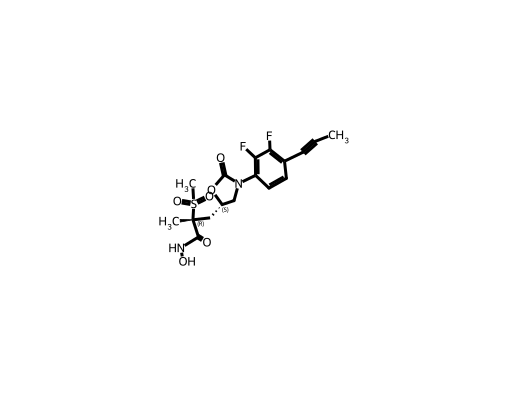 CC#Cc1ccc(N2C[C@H](C[C@](C)(C(=O)NO)S(C)(=O)=O)OC2=O)c(F)c1F